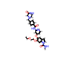 CCOCCOc1cc2c(ccn2C(=O)NC)cc1Oc1ccnc(NC(=O)c2ccc(CN3CCNC(=O)C3)cc2)c1